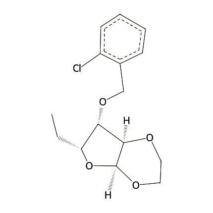 CC[C@H]1O[C@@H]2OCCO[C@@H]2[C@H]1OCc1ccccc1Cl